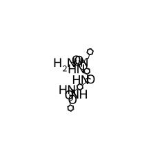 N=C(NC(=O)OCc1ccccc1)c1ccc(CNC(=O)c2ccc3c(c2)NC(CC(N)=O)C(=O)N(CCc2ccccc2)C3)cc1